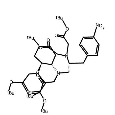 CC(C)(C)CC(=O)CN(C[C@@H](Cc1ccc([N+](=O)[O-])cc1)N(CC(=O)OC(C)(C)C)CC(=O)OC(C)(C)C)[C@H]1CCCC[C@@H]1N(CC(=O)OC(C)(C)C)CC(=O)OC(C)(C)C